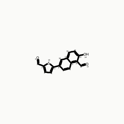 O=Cc1ccc(-c2ccc3c(C=O)c(O)ccc3c2)s1